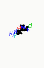 Cc1cc(F)c(N)cc1-c1cc2cnc(Cl)cc2n(C(C)C)c1=O